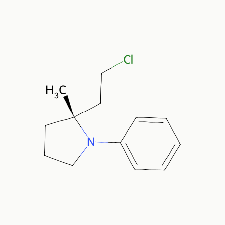 C[C@]1(CCCl)CCCN1c1ccccc1